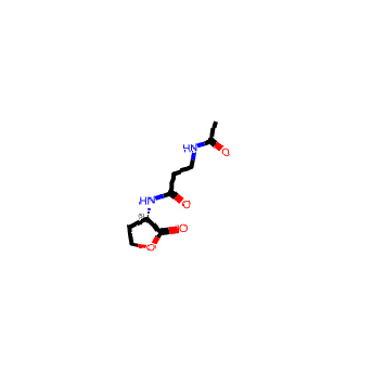 CC(=O)NCCC(=O)N[C@H]1CCOC1=O